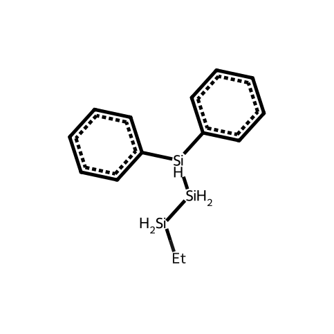 CC[SiH2][SiH2][SiH](c1ccccc1)c1ccccc1